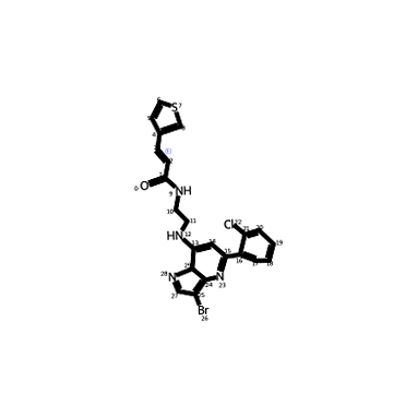 O=C(/C=C/c1ccsc1)NCCNC1=CC(c2ccccc2Cl)=NC2=C(Br)C=NC12